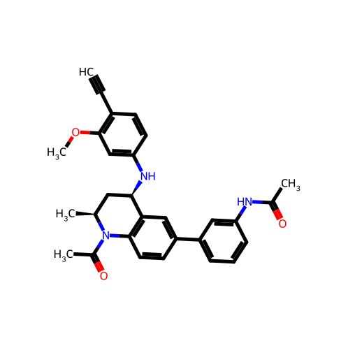 C#Cc1ccc(N[C@@H]2C[C@H](C)N(C(C)=O)c3ccc(-c4cccc(NC(C)=O)c4)cc32)cc1OC